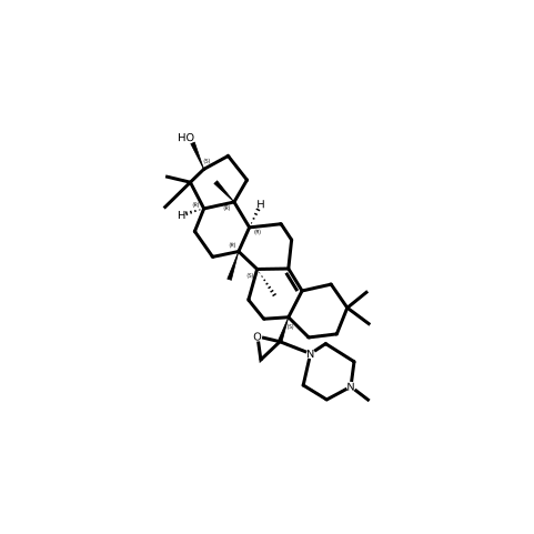 CN1CCN(C2([C@]34CCC(C)(C)CC3=C3CC[C@@H]5[C@@]6(C)CC[C@H](O)C(C)(C)[C@@H]6CC[C@@]5(C)[C@]3(C)CC4)CO2)CC1